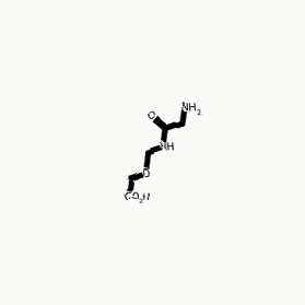 NCC(=O)NCOCC(=O)O